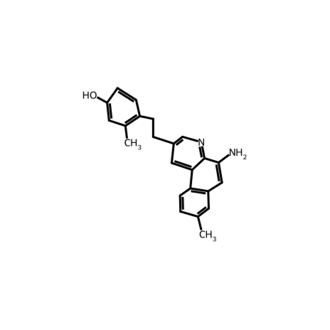 Cc1ccc2c(c1)cc(N)c1ncc(CCc3ccc(O)cc3C)cc12